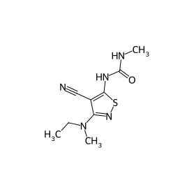 CCN(C)c1nsc(NC(=O)NC)c1C#N